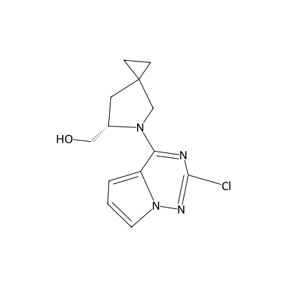 OC[C@@H]1CC2(CC2)CN1c1nc(Cl)nn2cccc12